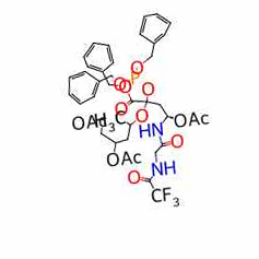 CC(=O)OCC(CC(C)OC(C[C@H](NC(=O)CNC(=O)C(F)(F)F)OC(C)=O)(OP(OCc1ccccc1)OCc1ccccc1)C(=O)OCc1ccccc1)OC(C)=O